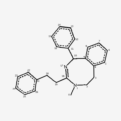 CN1CCc2ccccc2C(c2ccccc2)N=C1CCc1ccccc1